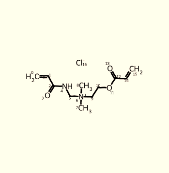 C=CC(=O)NC[N+](C)(C)CCOC(=O)C=C.[Cl-]